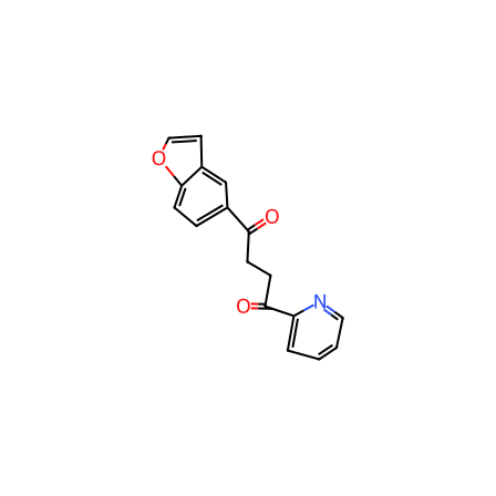 O=C(CCC(=O)c1ccccn1)c1ccc2occc2c1